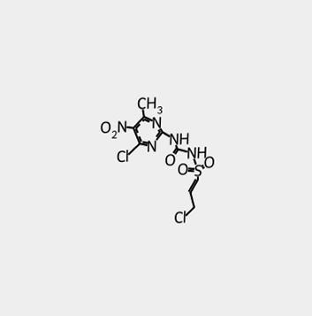 Cc1nc(NC(=O)NS(=O)(=O)C=CCCl)nc(Cl)c1[N+](=O)[O-]